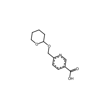 O=C(O)c1ccc(COC2CCCCO2)nc1